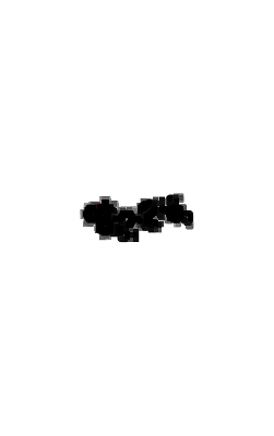 COc1ccc(CNc2nccn3c(C4CCC(CO[Si](c5ccccc5)(c5ccccc5)C(C)(C)C)N(C(=O)O)C4)nc(Br)c23)c(OC)c1